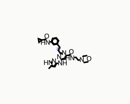 Cc1cc(Nc2cc(C(=O)NCCN3CCOCC3)nc(/C=C/c3cccc(NC(=O)C4CC4)c3)n2)n[nH]1